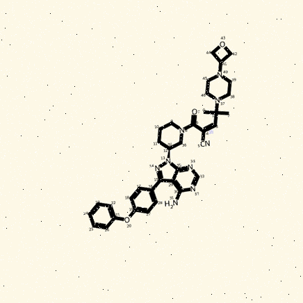 CC(C)(/C=C(/C#N)C(=O)N1CCC[C@H](n2nc(-c3ccc(Oc4ccccc4)cc3)c3c(N)ncnc32)C1)N1CCN(C2COC2)CC1